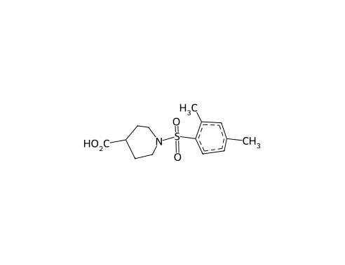 Cc1ccc(S(=O)(=O)N2CCC(C(=O)O)CC2)c(C)c1